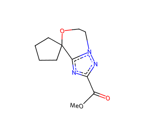 COC(=O)c1nc2n(n1)CCOC21CCCC1